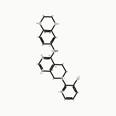 Clc1cccnc1N1CCc2c(ncnc2Nc2ccc3c(c2)OCCO3)C1